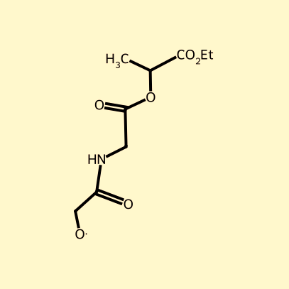 CCOC(=O)C(C)OC(=O)CNC(=O)C[O]